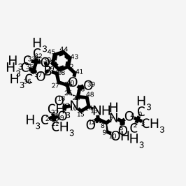 CC(C)(C)OC(=O)N[C@@H](CO)C(=O)N[C@H]1CN(C(=O)OC(C)(C)C)[C@@](CCCCB2OC(C)(C)C(C)(C)O2)(C(=O)OCc2ccccc2)C1